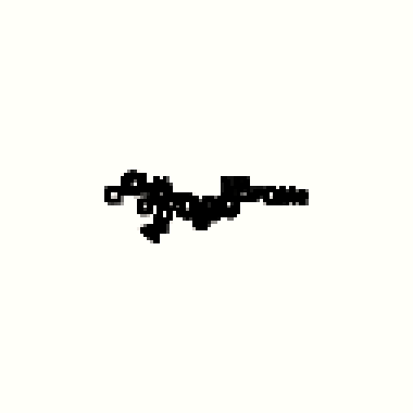 COCCOc1ccc(CS(=O)(=O)N2CCN(c3cnn(-c4cccc(Cl)c4)c(=O)c3OCC3(C)CC3)CC2)cc1[N+](=O)[O-]